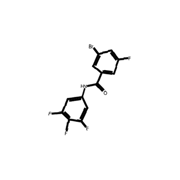 O=C(Nc1cc(F)c(F)c(F)c1)c1cc(F)cc(Br)c1